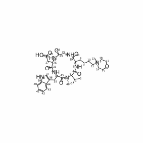 CC(C)C1C(=O)NC(CCCC[N+]2(C)CCOCC2)C(=O)NCC(=O)NC(CC(=O)O)C(=O)NC(Cc2c[nH]c3ccccc23)C(=O)N1C